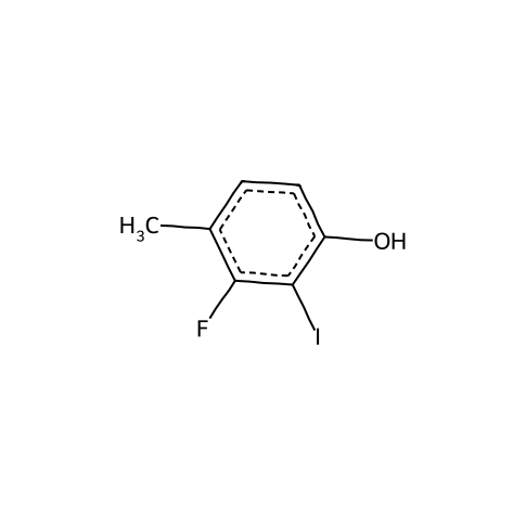 Cc1ccc(O)c(I)c1F